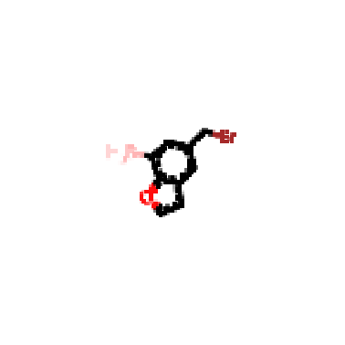 Bc1cc(CBr)cc2ccoc12